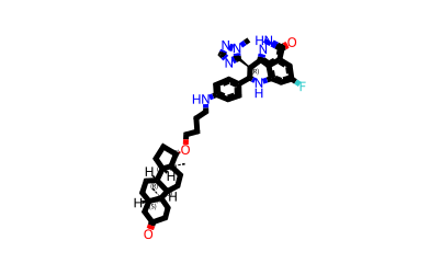 Cn1ncnc1[C@H]1c2n[nH]c(=O)c3cc(F)cc(c23)NC1c1ccc(NCCCCO[C@H]2CC[C@H]3[C@@H]4CC[C@H]5CC(=O)CC[C@]5(C)[C@H]4CC[C@]23C)cc1